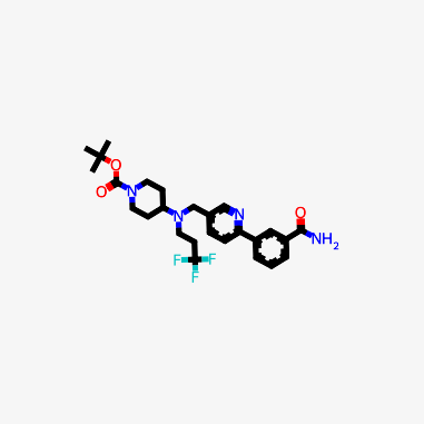 CC(C)(C)OC(=O)N1CCC(N(CCC(F)(F)F)Cc2ccc(-c3cccc(C(N)=O)c3)nc2)CC1